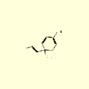 CC=CC1(C(C)CC)C=CC(C(C)CC)=CC1